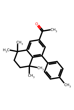 CC(=O)c1cc(-c2ccc(C)cc2)c2c(c1)C(C)(C)CCC2(C)C